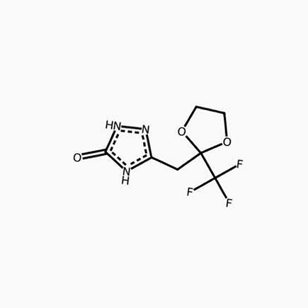 O=c1[nH]nc(CC2(C(F)(F)F)OCCO2)[nH]1